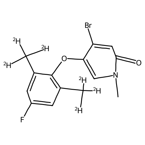 [2H]C([2H])([2H])c1cc(F)cc(C([2H])([2H])[2H])c1Oc1cn(C)c(=O)cc1Br